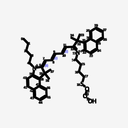 CCCCCN1/C(=C/C=C/C=C/C2=[N+](CCCCSOOO)c3ccc4ccccc4c3C2(C)C)C(C)(C)c2c1ccc1ccccc21